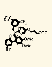 COc1cc(CN(Cc2cc(C(F)(F)F)cc(C(F)(F)F)c2)c2ncc(OCCCC(=O)[O-])cn2)c(-c2cc(C(C)C)ccc2OC)cc1OC.[Na+]